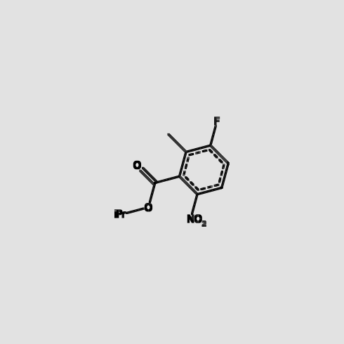 Cc1c(F)ccc([N+](=O)[O-])c1C(=O)OC(C)C